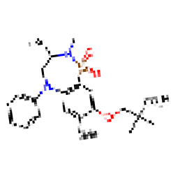 CCCCC1CN(c2ccccc2)c2cc(SC)c(OCC(C)(C)C(=O)O)cc2S(=O)(=O)N1C